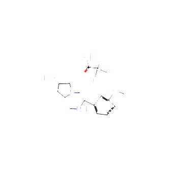 CN[C@H](CN1CC[C@H](O)C1)c1cccc(OC)c1.O=C(O)C(F)(F)F